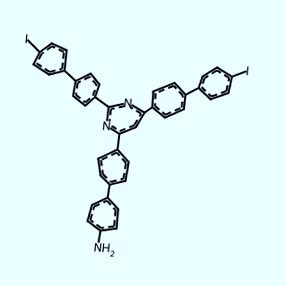 Nc1ccc(-c2ccc(-c3cc(-c4ccc(-c5ccc(I)cc5)cc4)nc(-c4ccc(-c5ccc(I)cc5)cc4)n3)cc2)cc1